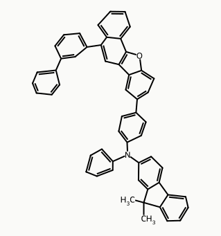 CC1(C)c2ccccc2-c2ccc(N(c3ccccc3)c3ccc(-c4ccc5oc6c7ccccc7c(-c7cccc(-c8ccccc8)c7)cc6c5c4)cc3)cc21